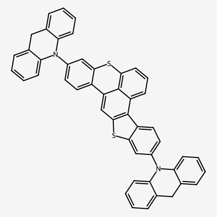 c1ccc2c(c1)Cc1ccccc1N2c1ccc2c(c1)Sc1cccc3c1c-2cc1sc2cc(N4c5ccccc5Cc5ccccc54)ccc2c13